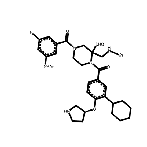 CC(=O)Nc1cc(F)cc(C(=O)N2CCN(C(=O)c3ccc(O[C@H]4CCNC4)c(C4CCCCC4)c3)C(C=O)(CNC(C)C)C2)c1